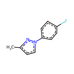 Cc1ccn(-c2ccc(F)cc2)n1